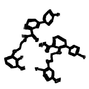 N#Cc1ccc(F)c(OCCOc2c(-c3ccc(F)cc3)ccnc2C(N)=O)c1.N#Cc1cccc(OCCONC(=O)c2cc(-c3ccc(F)cc3)ccn2)c1F